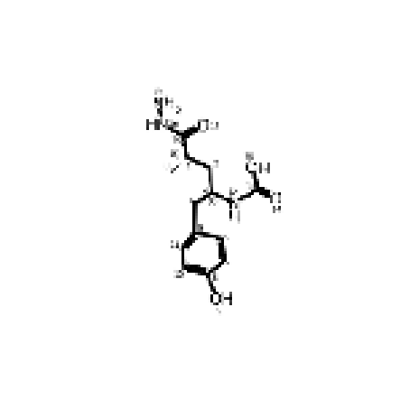 C[C@@H](C[C@H](Cc1ccc(O)cc1)NC(=O)O)C(=O)NN